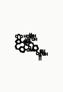 COc1ccc(/C=C\c2cc(OC)c3c(c2)OCO3)cc1NC(=O)[C@H](Cc1ccc(O[PH](O)(O)O)cc1)N[PH](O)(O)O